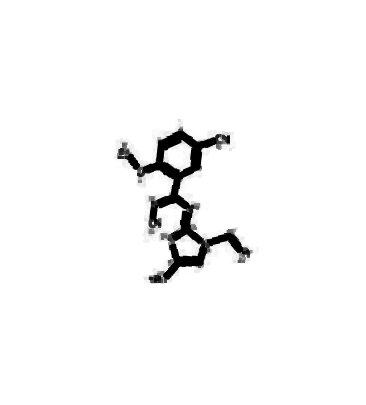 CCOc1ccc(C#N)cc1C(=NC#N)/N=c1\sc(C(C)(C)C)cn1CC(C)C